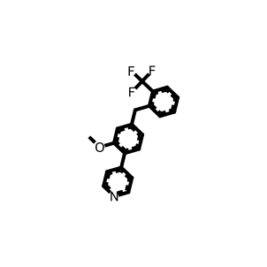 COc1cc(Cc2ccccc2C(F)(F)F)ccc1-c1ccncc1